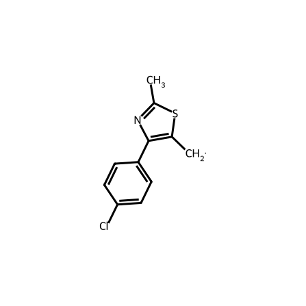 [CH2]c1sc(C)nc1-c1ccc(Cl)cc1